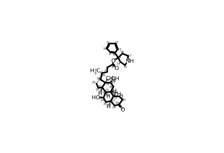 C[C@H](CCC(=O)OC1(c2ccccc2)CCNCC1)[C@H]1CC[C@H]2[C@@H]3C(O)C[C@@H]4CC(=O)CC[C@]4(C)[C@H]3CC(O)[C@]12C